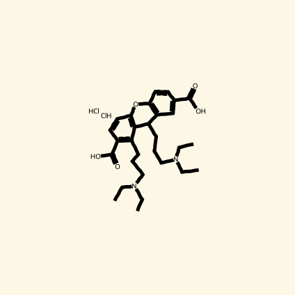 CCN(CC)CCCc1c(C(=O)O)ccc2c1C(CCCN(CC)CC)c1cc(C(=O)O)ccc1O2.Cl.Cl